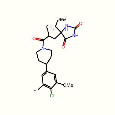 CCc1cc(C2CCN(C(=O)C(C)CC3(COC)NC(=O)NC3=O)CC2)cc(OC)c1Cl